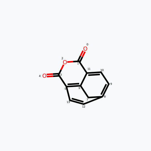 O=C1OC(=O)C2=C3CC(=CC=C13)C=C2